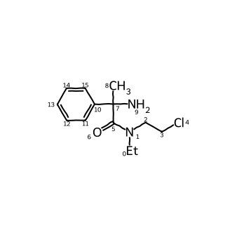 CCN(CCCl)C(=O)C(C)(N)c1ccccc1